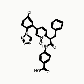 O=C(O)c1ccc(NC(=O)C(Cc2ccccc2)c2ccc(-c3cc(Cl)ccc3-n3cnnn3)c[n+]2[O-])cc1